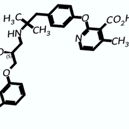 Cc1ccnc(Oc2ccc(CC(C)(C)NC[C@H](O)COc3cccc4[nH]ccc34)cc2)c1C(=O)O